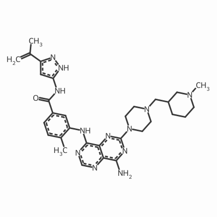 C=C(C)c1cc(NC(=O)c2ccc(C)c(Nc3ncnc4c(N)nc(N5CCN(CC6CCCN(C)C6)CC5)nc34)c2)[nH]n1